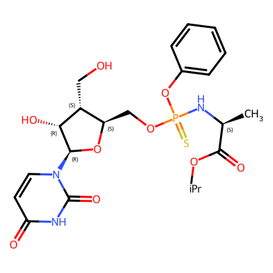 CC(C)OC(=O)[C@H](C)NP(=S)(OC[C@H]1O[C@@H](n2ccc(=O)[nH]c2=O)[C@H](O)[C@@H]1CO)Oc1ccccc1